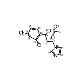 CS(=O)(=O)OC(CCn1ccnc1)c1ccc(Cl)cc1Cl